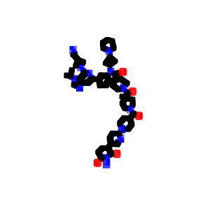 CC(C)n1cnc2cc(-c3ccc4c(c3)N([C@H]3C[C@@H](N5CCCCC5)C3)C(=O)C43CCN(C(=O)C4(C)CCN(C(=O)C5CCN(C6CC=C(C7CCC(=O)NC7=O)C=N6)CC5)CC4)CC3)nc(N3CC(C#N)C3)c21